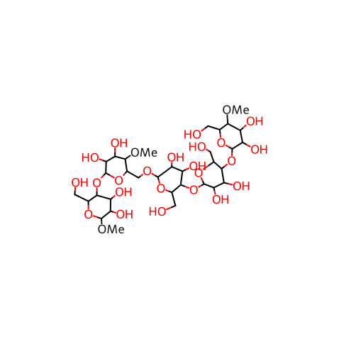 COC1OC(CO)C(OC2OC(COC3OC(CO)C(OC4OC(CO)C(OC5OC(CO)C(OC)C(O)C5O)C(O)C4O)C(O)C3O)C(OC)C(O)C2O)C(O)C1O